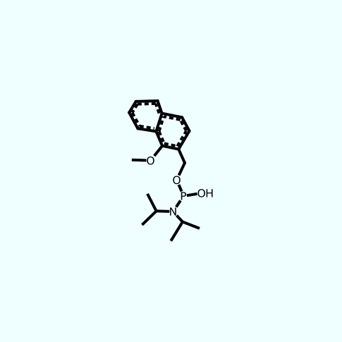 COc1c(COP(O)N(C(C)C)C(C)C)ccc2ccccc12